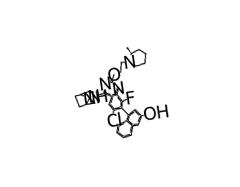 C[C@H]1CCCCN1CCOc1nc(N2CC3CCC(C2)N3)c2cc(Cl)c(-c3cc(O)cc4ccccc34)c(F)c2n1